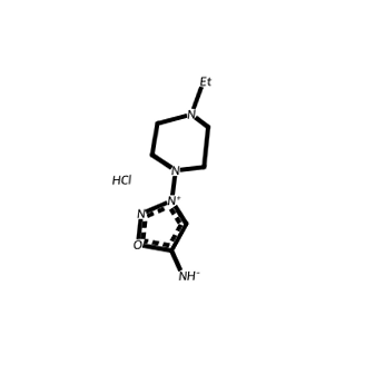 CCN1CCN([n+]2cc([NH-])on2)CC1.Cl